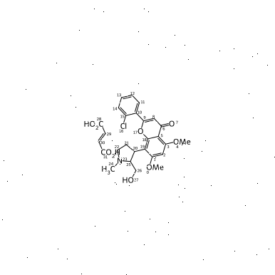 COc1cc(OC)c2c(=O)cc(-c3ccccc3Cl)oc2c1C1CCN(C)C1CO.O=C(O)C=CC(=O)O